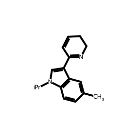 Cc1ccc2c(c1)c(C1=NCCC=C1)cn2C(C)C